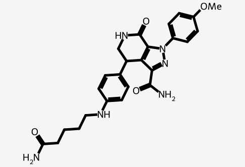 COc1ccc(-n2nc(C(N)=O)c3c2C(=O)NCC3c2ccc(NCCCCC(N)=O)cc2)cc1